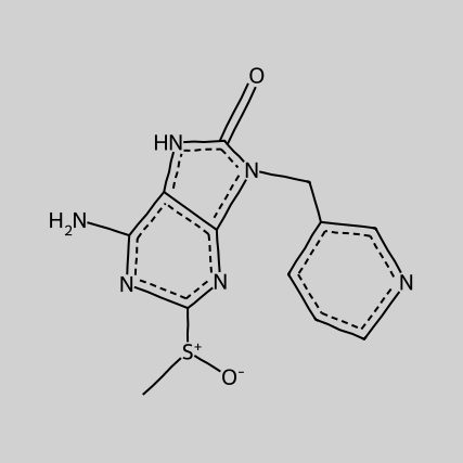 C[S+]([O-])c1nc(N)c2[nH]c(=O)n(Cc3cccnc3)c2n1